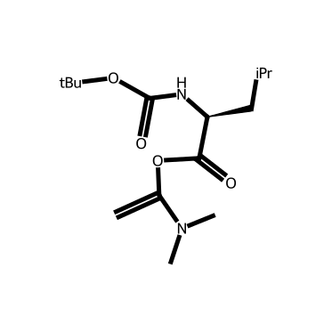 C=C(OC(=O)[C@H](CC(C)C)NC(=O)OC(C)(C)C)N(C)C